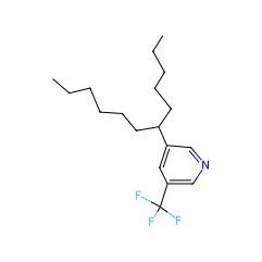 CCCCCCC(CCCCC)c1cncc(C(F)(F)F)c1